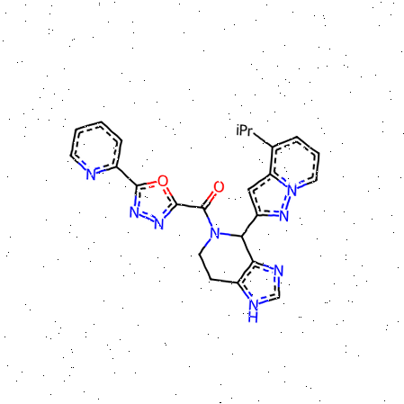 CC(C)c1cccn2nc(C3c4nc[nH]c4CCN3C(=O)c3nnc(-c4ccccn4)o3)cc12